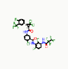 O=C(Nc1c(F)ccc(NC(=O)C(F)(F)C(F)F)c1F)c1cc(NC(=O)[C@H]2[C@H](c3ccc(F)c(C(F)(F)F)c3)C2(Cl)Cl)ccc1Cl